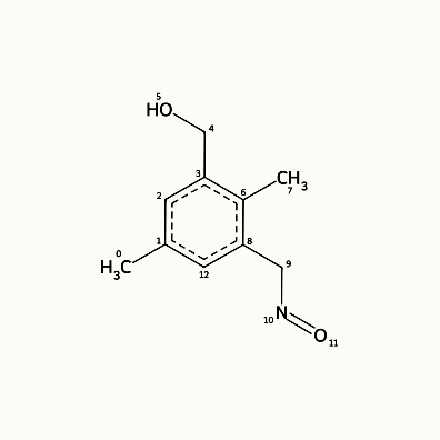 Cc1cc(CO)c(C)c(CN=O)c1